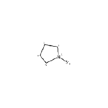 [S]N1CCCC1